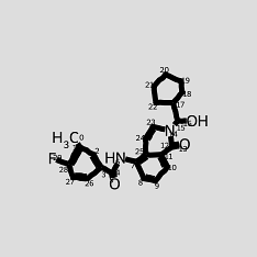 Cc1cc(C(=O)Nc2cccc3c(=O)n(C(O)C4CCCCC4)ccc23)ccc1F